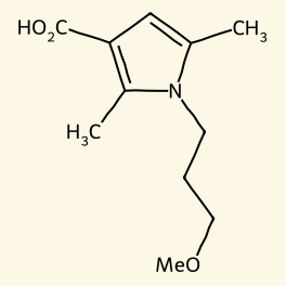 COCCCn1c(C)cc(C(=O)O)c1C